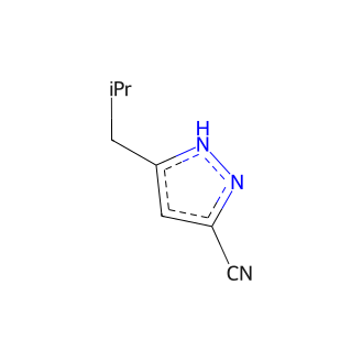 CC(C)Cc1cc(C#N)n[nH]1